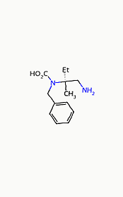 CC[C@@](C)(CN)N(Cc1ccccc1)C(=O)O